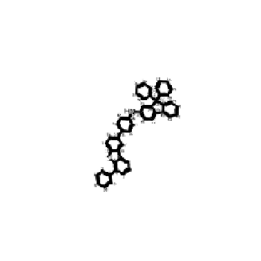 c1ccc(-c2cccc3c2sc2ccc(-c4ccc(Nc5ccc6c(c5)C(c5ccccc5)(c5ccccc5)c5ccccc5-6)cc4)cc23)cc1